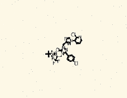 CC(C)(C)[Si](C)(C)O[C@@H](Cn1c(-c2ccc(Cl)cc2)nn(Cc2ncn(-c3cccnc3Cl)n2)c1=O)C(F)(F)F